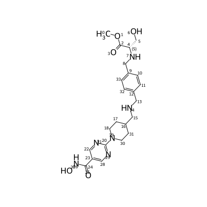 COC(=O)[C@H](CO)NCc1ccc(CNCC2CCN(c3ncc(C(=O)NO)cn3)CC2)cc1